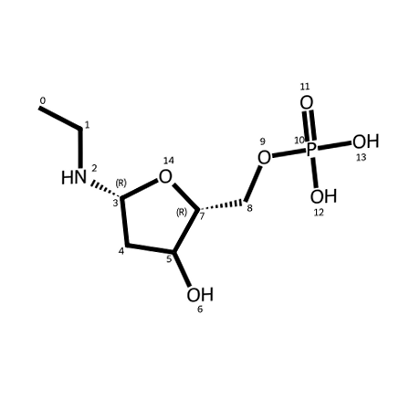 CCN[C@H]1CC(O)[C@@H](COP(=O)(O)O)O1